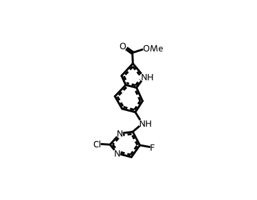 COC(=O)c1cc2ccc(Nc3nc(Cl)ncc3F)cc2[nH]1